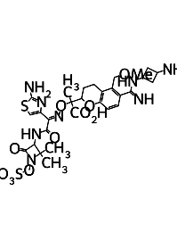 COCc1c(C(=N)NC2CC(N)C2)ccc2c1CCC(C(C)(ON=C(C(=O)NC1C(=O)N(OS(=O)(=O)O)C1(C)C)c1csc(N)n1)C(=O)O)O2